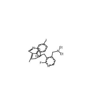 CCN(CC)Cc1ccnc(F)c1CNC(=O)C1=C(/C)CCc2ccc(I)cc2/N=C\1